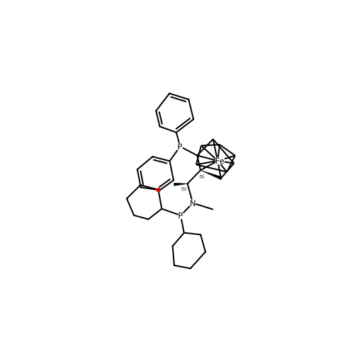 C[C@H](N(C)P(C1CCCCC1)C1CCCCC1)[C@]12[CH]3[CH]4[CH]5[C]1(P(c1ccccc1)c1ccccc1)[Fe]45321678[CH]2[CH]1[CH]6[CH]7[CH]28